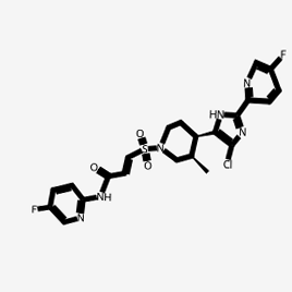 C[C@H]1CN(S(=O)(=O)C=CC(=O)Nc2ccc(F)cn2)CC[C@H]1c1[nH]c(-c2ccc(F)cn2)nc1Cl